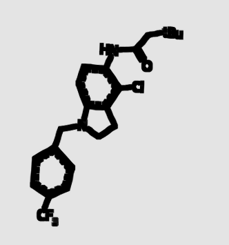 CC(C)(C)CC(=O)Nc1ccc2c(c1Cl)CCN2Cc1ccc(C(F)(F)F)cc1